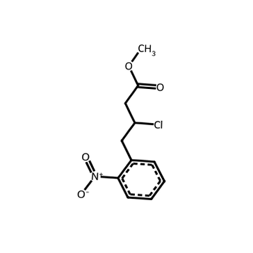 COC(=O)CC(Cl)Cc1ccccc1[N+](=O)[O-]